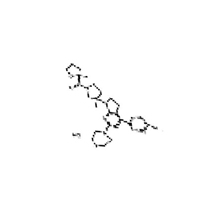 CC1(C(=O)N2CC[C@](C)(N3CCc4c(-c5cnc(N)nc5)nc(N5CCOCC5)nc43)C2)CCCO1.Cl